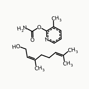 CC(C)=CCC/C(C)=C\CO.Cc1cccnc1OC(N)=O